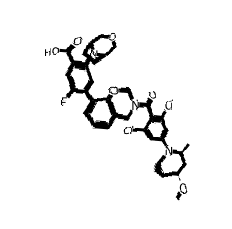 CO[C@@H]1CCN(c2cc(Cl)c(C(=O)N3COc4c(cccc4-c4cc(N5C6CCC5COC6)c(C(=O)O)cc4F)C3)c(Cl)c2)[C@@H](C)C1